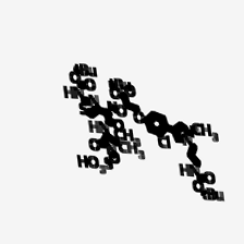 C[n+]1cc(-c2ccc(OCC(O/N=C(\C(=O)NC3C(=O)N(OS(=O)(=O)O)C3(C)C)c3csc(NC(=O)OC(C)(C)C)n3)C(=O)OC(C)(C)C)cc2Cl)cn1CCCNC(=O)OC(C)(C)C